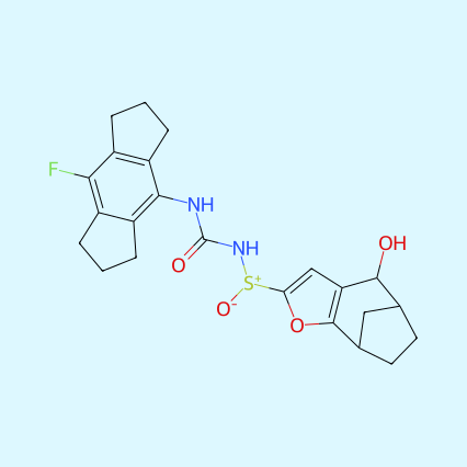 O=C(Nc1c2c(c(F)c3c1CCC3)CCC2)N[S+]([O-])c1cc2c(o1)C1CCC(C1)C2O